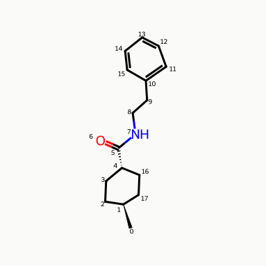 C[C@H]1CC[C@H](C(=O)NCCc2ccccc2)CC1